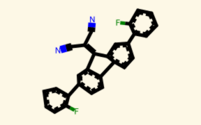 N#CC(C#N)=C1c2cc(-c3ccccc3F)ccc2-c2ccc(-c3ccccc3F)cc21